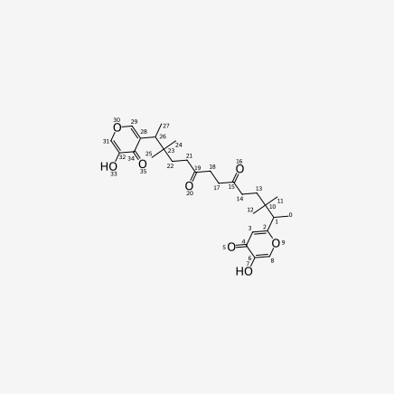 CC(c1cc(=O)c(O)co1)C(C)(C)CCC(=O)CCC(=O)CCC(C)(C)C(C)c1cocc(O)c1=O